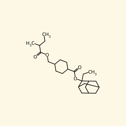 CCC(C)C(=O)OCC1CCC(C(=O)OC2(CC)C3CC4CC(C3)CC2C4)CC1